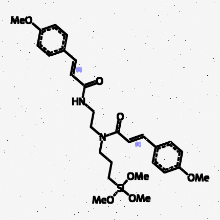 COc1ccc(/C=C/C(=O)NCCN(CCC[Si](OC)(OC)OC)C(=O)/C=C/c2ccc(OC)cc2)cc1